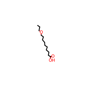 CCCOCCCCCCCCCC(=O)O